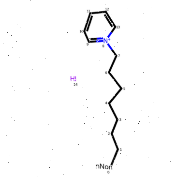 CCCCCCCCCCCCCCCC[n+]1ccccc1.I